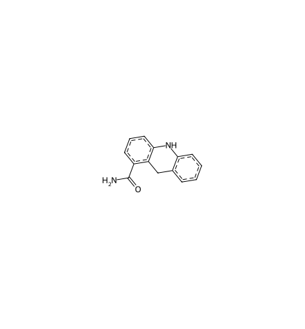 NC(=O)c1cccc2c1Cc1ccccc1N2